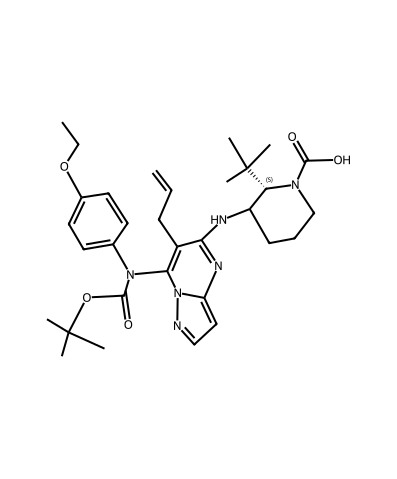 C=CCc1c(NC2CCCN(C(=O)O)[C@H]2C(C)(C)C)nc2ccnn2c1N(C(=O)OC(C)(C)C)c1ccc(OCC)cc1